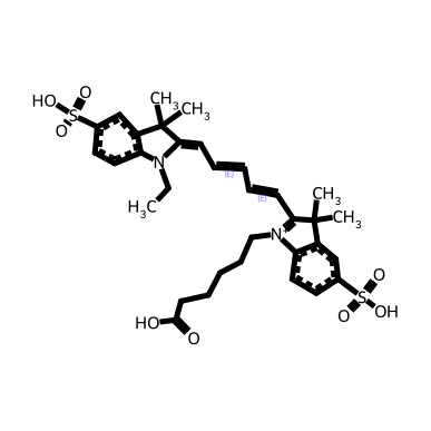 CCN1C(=C/C=C/C=C/C2=[N+](CCCCCC(=O)O)c3ccc(S(=O)(=O)O)cc3C2(C)C)C(C)(C)c2cc(S(=O)(=O)O)ccc21